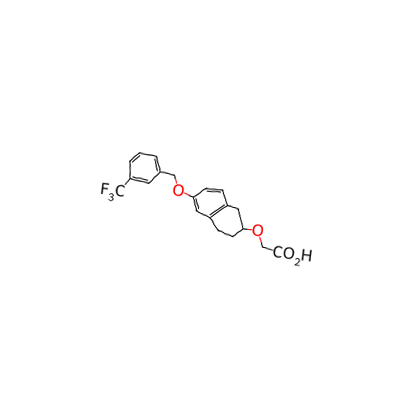 O=C(O)COC1CCc2cc(OCc3cccc(C(F)(F)F)c3)ccc2C1